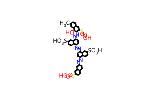 Cc1ccc2cc(SOOO)c(N=Nc3ccc(N=Nc4ccc(N=Nc5ccc6ccc(SOOO)cc6c5)c5ccc(S(=O)(=O)O)cc45)c4ccc(S(=O)(=O)O)cc34)c(O)c2c1